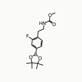 COC(=O)NCCc1ccc(B2OC(C)(C)C(C)(C)O2)cc1F